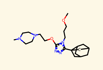 COCCCn1c(OCCN2CCN(C)CC2)nnc1C12CC3CC(CC1C3)C2